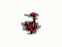 CO[C@H]1OC(CO)C(O[C@H]2OC(CNC(=S)NCCN(CCNC(=S)NCC3O[C@H](OC4C(CO)O[C@H](OC)C(O)[C@H]4O)C(O)[C@@H](O)C3C)CCNC(=S)NC(COCCCS[C@H]3OC(CO)[C@@H](O)[C@H](O)C3O)(COCCCS[C@@H]3OC(CO)[C@@H](O[C@@H]4OC(CO)[C@H](O)[C@H](O)C4O)[C@H](O)C3O)COCCCS[C@@H]3OC(CO)[C@@H](O[C@@H]4OC(CO)[C@H](O)[C@H](O)C4O)[C@H](O)C3O)C(C)[C@H](O)C2O)[C@H](O)C1O